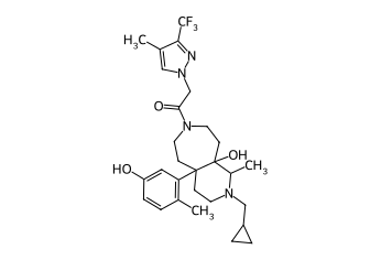 Cc1ccc(O)cc1C12CCN(C(=O)Cn3cc(C)c(C(F)(F)F)n3)CCC1(O)C(C)N(CC1CC1)CC2